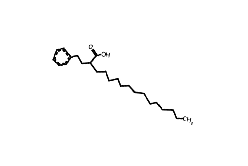 CCCCCCCCCCCCCCC(CCc1ccccc1)C(=O)O